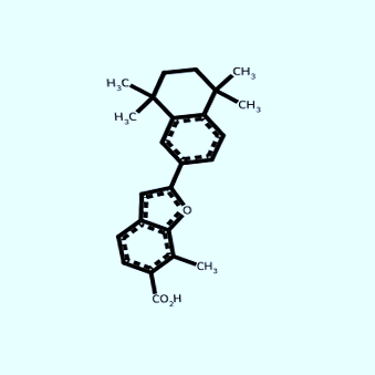 Cc1c(C(=O)O)ccc2cc(-c3ccc4c(c3)C(C)(C)CCC4(C)C)oc12